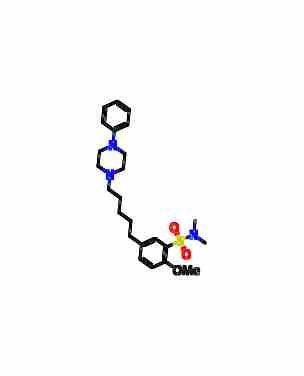 COc1ccc(CCCCCN2CCN(c3ccccc3)CC2)cc1S(=O)(=O)N(C)C